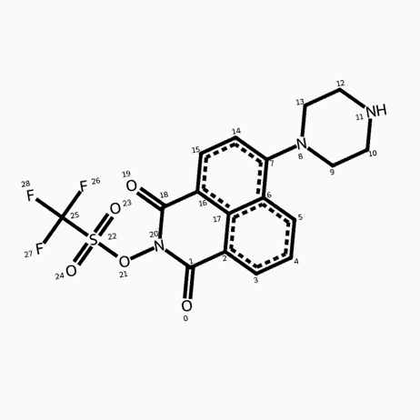 O=C1c2cccc3c(N4CCNCC4)ccc(c23)C(=O)N1OS(=O)(=O)C(F)(F)F